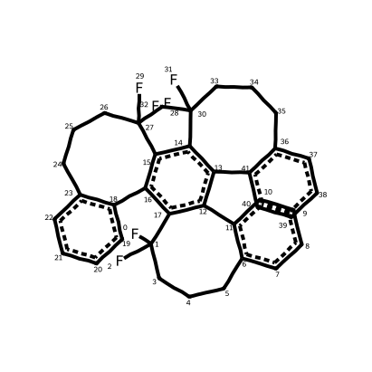 FC1(F)CCCc2ccccc2-c2c3c(c4c(c21)-c1ccccc1CCCC4(F)F)C(F)(F)CCCc1ccccc1-3